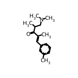 C/C(=C\c1cccc(C)c1)C(=O)C(C)CN(C)C